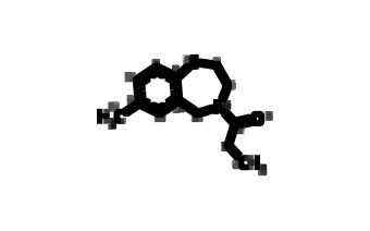 CCC(=O)N1CCSc2ccc(C)cc2C1